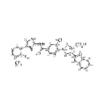 O=C(Nc1nc(-c2cccc(C(F)(F)F)c2F)cs1)c1cnc(N2C[C@H](C(=O)O)[C@@H](c3cc4ccccc4o3)C2)c(Cl)c1